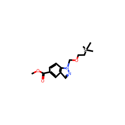 COC(=O)c1ccc2c(cnn2COCC[Si](C)(C)C)c1